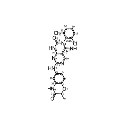 CC1Oc2ccc(Nc3ncc4c(=N)n(-c5c(Cl)cccc5Cl)c(=O)[nH]c4n3)cc2NC1=O